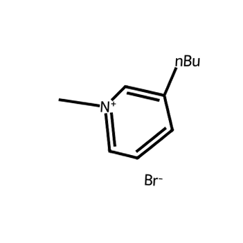 CCCCc1ccc[n+](C)c1.[Br-]